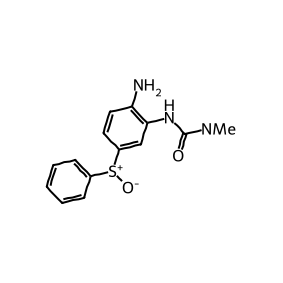 CNC(=O)Nc1cc([S+]([O-])c2ccccc2)ccc1N